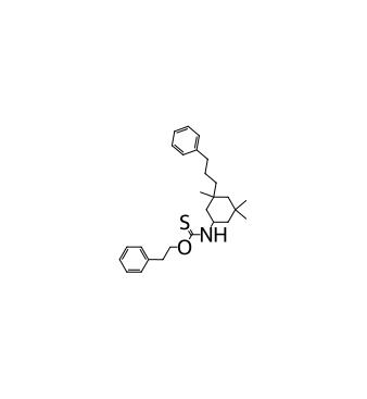 CC1(C)CC(NC(=S)OCCc2ccccc2)CC(C)(CCCc2ccccc2)C1